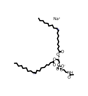 CCCCCCCC/C=C\CCCCCCCC(=O)OC[C@H](COP(=O)([O-])OCCNC(C)=O)OC(=O)CCCCCCC/C=C\CCCCCCCC.[Na+]